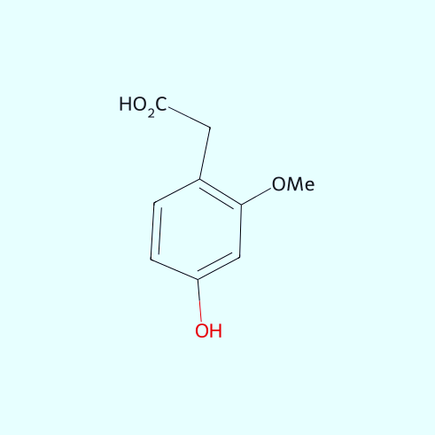 COc1cc(O)ccc1CC(=O)O